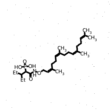 CCC(CC)C(C(=O)NOCC=C(C)CCC=C(C)CCC=C(C)CCC=C(C)C)P(=O)(O)O